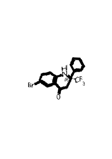 O=C1C[C@@](c2ccccc2)(C(F)(F)F)Nc2ccc(Br)cc21